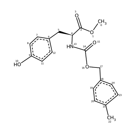 COC(=O)[C@H](Cc1ccc(O)cc1)NC(=O)OCc1ccc(C)cc1